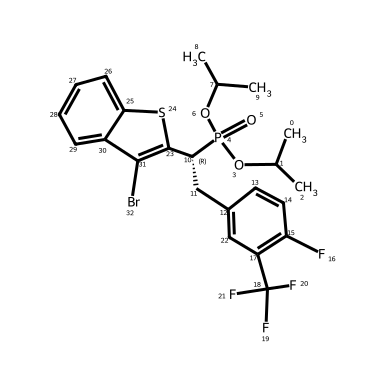 CC(C)OP(=O)(OC(C)C)[C@H](Cc1ccc(F)c(C(F)(F)F)c1)c1sc2ccccc2c1Br